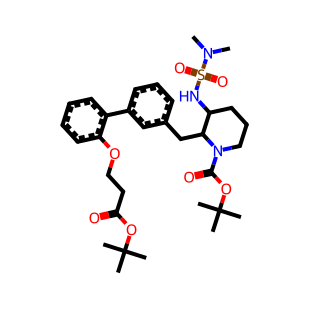 CN(C)S(=O)(=O)NC1CCCN(C(=O)OC(C)(C)C)C1Cc1cccc(-c2ccccc2OCCC(=O)OC(C)(C)C)c1